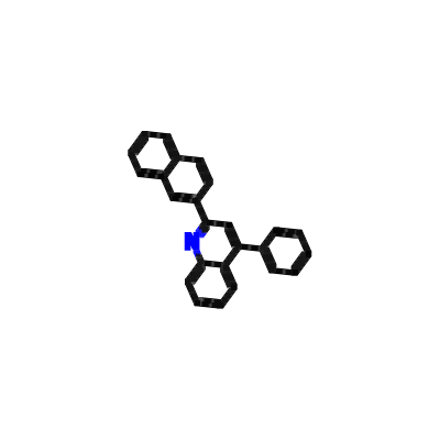 c1ccc(-c2cc(-c3ccc4ccccc4c3)nc3ccccc23)cc1